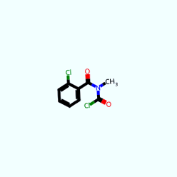 CN(C(=O)Cl)C(=O)c1ccccc1Cl